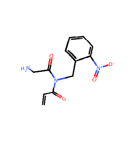 C=CC(=O)N(Cc1ccccc1[N+](=O)[O-])C(=O)CN